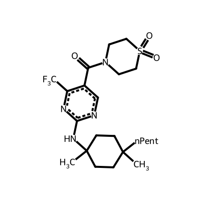 CCCCCC1(C)CCC(C)(Nc2ncc(C(=O)N3CCS(=O)(=O)CC3)c(C(F)(F)F)n2)CC1